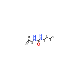 CCCCNC(=O)NC=C(C)C